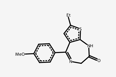 CCc1cc2c(s1)NC(=O)CN=C2c1ccc(OC)cc1